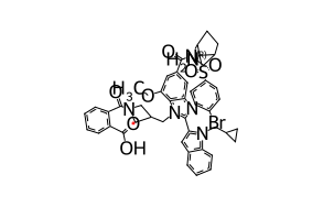 COc1cc(C(=O)N2CC3CCC2[C@]3(N)S(=O)(=O)c2ccc(Br)cc2)cc2nc(-c3cc4ccccc4n3CC3CC3)n(CC3CN(C(=O)c4ccccc4C(=O)O)C3)c12